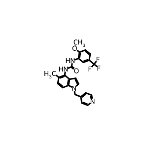 COc1ccc(C(F)(F)F)cc1NC(=O)Nc1c(C)ccc2c1ccn2Cc1ccncc1